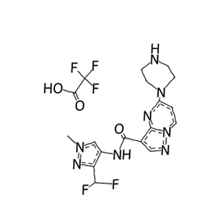 Cn1cc(NC(=O)c2cnn3ccc(N4CCNCC4)nc23)c(C(F)F)n1.O=C(O)C(F)(F)F